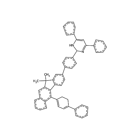 CC1(C)c2cc(-c3ccc(C4N=C(c5ccccc5)C=C(c5ccccc5)N4)cc3)ccc2-c2c1cc1ccccc1c2C1=CC=C(c2ccccc2)CC1